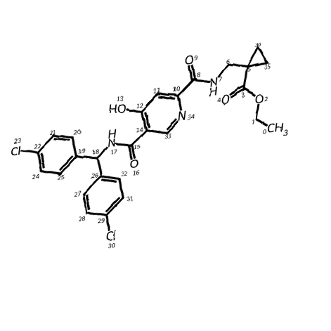 CCOC(=O)C1(CNC(=O)c2cc(O)c(C(=O)NC(c3ccc(Cl)cc3)c3ccc(Cl)cc3)cn2)CC1